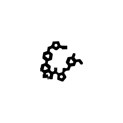 CCc1cc(CO[C@H]2CCC[C@@H]2NC(=O)c2cc(-c3ccc(CN4CCC(O)C4)cc3)cnc2N)ccc1C